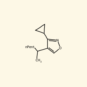 CCCCCC(C)c1conc1C1CC1